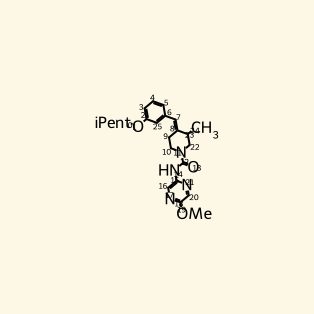 CCCC(C)Oc1cccc(/C=C2\CCN(C(=O)Nc3cnc(OC)cn3)CC2C)c1